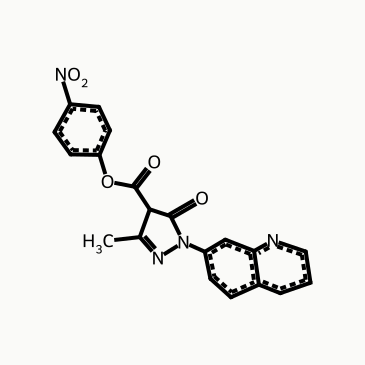 CC1=NN(c2ccc3cccnc3c2)C(=O)C1C(=O)Oc1ccc([N+](=O)[O-])cc1